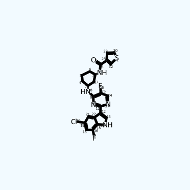 O=C(N[C@@H]1CCC[C@H](Nc2nc(-c3c[nH]c4c(F)cc(Cl)cc34)ncc2F)C1)c1ccsc1